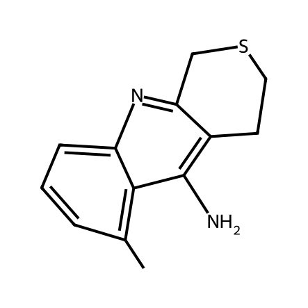 Cc1cccc2nc3c(c(N)c12)CCSC3